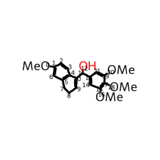 COc1ccc2c(c1)CCC=C2C(O)c1cc(OC)c(OC)c(OC)c1